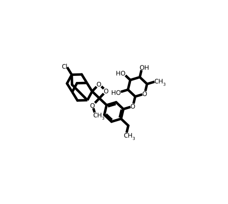 CCc1ccc(C2(OC)OOC23C2CC4CC3CC(Cl)(C4)C2)cc1OC1OC(C)C(O)C(O)C1O